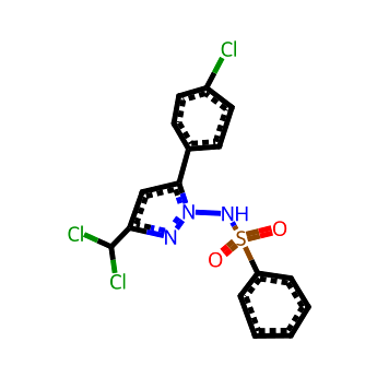 O=S(=O)(Nn1nc(C(Cl)Cl)cc1-c1ccc(Cl)cc1)c1ccccc1